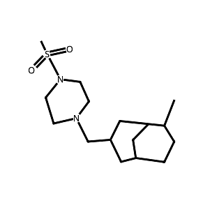 CC1CCC2CC(CN3CCN(S(C)(=O)=O)CC3)CC1C2